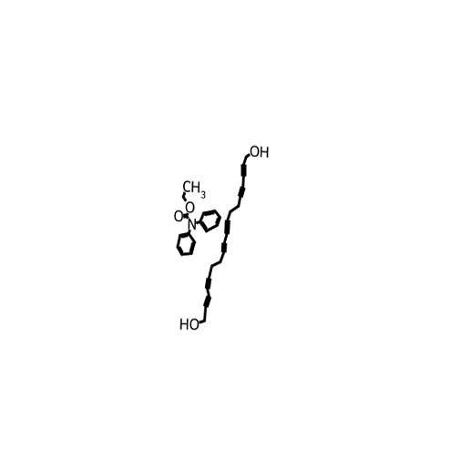 CCOC(=O)N(c1ccccc1)c1ccccc1.OCC#CC#CCCC#CC#CCCC#CC#CCO